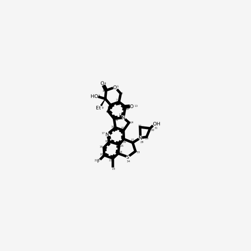 CC[C@@]1(O)C(=O)OCc2c1cc1n(c2=O)Cc2c-1nc1cc(F)c(C)c3c1c2C(N1CC(O)C1)CS3